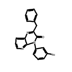 CC(=O)c1cccc(-n2c(=O)c(Cc3ccccc3)nc3cccnc32)c1